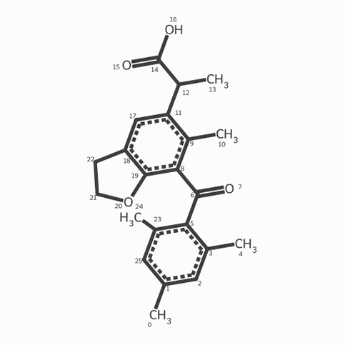 Cc1cc(C)c(C(=O)c2c(C)c(C(C)C(=O)O)cc3c2OCC3)c(C)c1